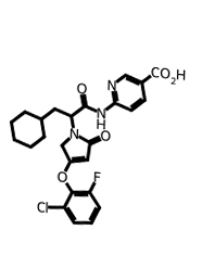 O=C(O)c1ccc(NC(=O)C(CC2CCCCC2)N2CC(Oc3c(F)cccc3Cl)=CC2=O)nc1